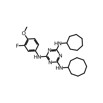 COc1ccc(Nc2nc(NC3CCCCCCC3)nc(NC3CCCCCC3)n2)cc1F